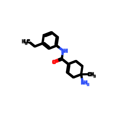 CCc1cccc(NC(=O)C2=CCC(C)(N)CC2)c1